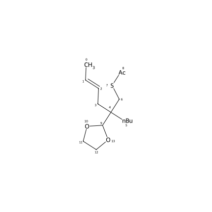 CC=CCC(CCCC)(CSC(C)=O)C1OCCO1